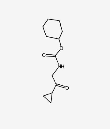 O=C(NCC(=O)C1CC1)OC1CCCCC1